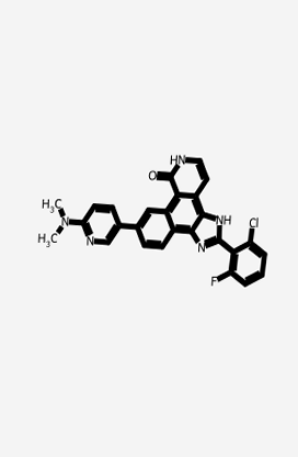 CN(C)c1ccc(-c2ccc3c(c2)c2c(=O)[nH]ccc2c2[nH]c(-c4c(F)cccc4Cl)nc32)cn1